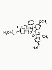 CCOc1ccccc1C1(NC(=O)N2CCN(C3CCN(C)CC3)CC2)C(=O)N(S(=O)(=O)c2ccc(OC)cc2OC)c2ccc(OC)cc21